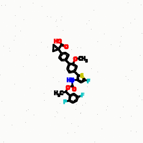 COc1cc(-c2sc(F)cc2NC(=O)O[C@H](C)c2cc(F)ccc2F)ccc1-c1ccc(C2(C(=O)O)CC2)cc1